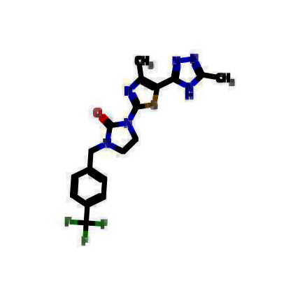 Cc1nnc(-c2sc(N3CCN(Cc4ccc(C(F)(F)F)cc4)C3=O)nc2C)[nH]1